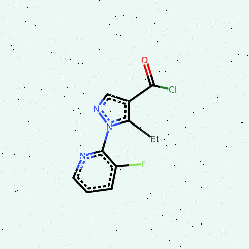 CCc1c(C(=O)Cl)cnn1-c1ncccc1F